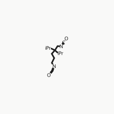 CC(C)C(CCCN=C=O)(CN=C=O)C(C)C